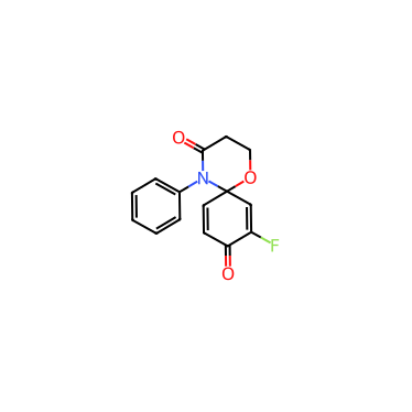 O=C1C=CC2(C=C1F)OCCC(=O)N2c1ccccc1